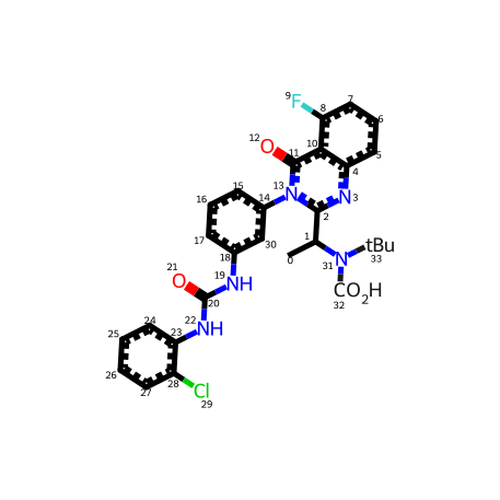 CC(c1nc2cccc(F)c2c(=O)n1-c1cccc(NC(=O)Nc2ccccc2Cl)c1)N(C(=O)O)C(C)(C)C